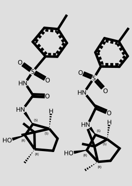 Cc1ccc(S(=O)(=O)NC(=O)N[C@H]2[C@H]3CC[C@@](C)([C@H]2O)C3(C)C)cc1.Cc1ccc(S(=O)(=O)NC(=O)N[C@H]2[C@H]3CC[C@@](C)([C@H]2O)C3(C)C)cc1